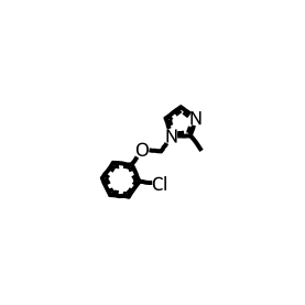 Cc1nccn1COc1ccccc1Cl